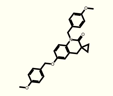 COc1ccc(COc2ccc3c(c2)CC2(CC2)C(=O)N3Cc2ccc(OC)cc2)cc1